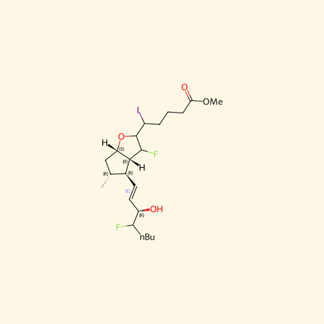 CCCCC(F)[C@H](O)/C=C/[C@@H]1[C@H]2C(F)C(C(I)CCCC(=O)OC)O[C@H]2C[C@H]1C